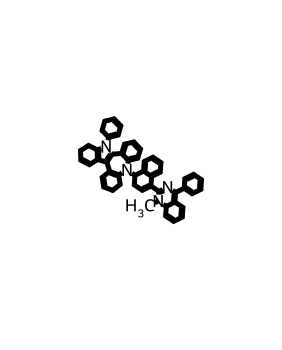 CN1C(C2=CCC(N3C4=C(C=CCC4)c4c5c(n(C6=CC=CCC6)c4-c4ccccc43)CCC=C5)c3ccccc32)=NC(c2ccccc2)=C2C=CC=CC21